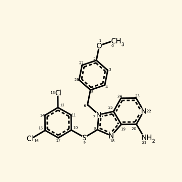 COc1ccc(Cn2c(Sc3cc(Cl)cc(Cl)c3)nc3c(N)nccc32)cc1